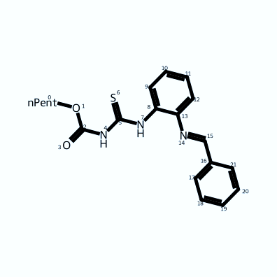 CCCCCOC(=O)NC(=S)Nc1ccccc1N=Cc1ccccc1